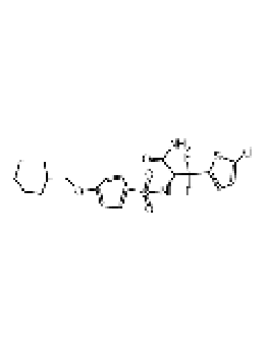 NC(=O)[C@H](NS(=O)(=O)c1ccc(OCC2CCCCC2)cc1)C(F)(F)c1ccc(Cl)s1